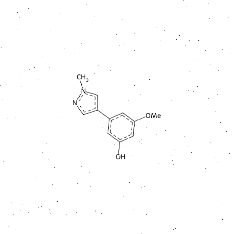 COc1cc(O)cc(-c2cnn(C)c2)c1